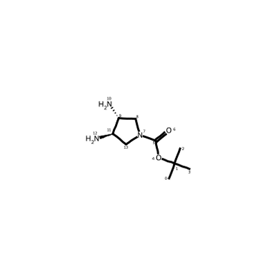 CC(C)(C)OC(=O)N1C[C@@H](N)[C@H](N)C1